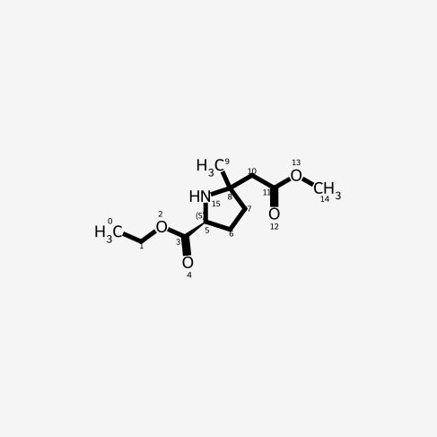 CCOC(=O)[C@@H]1CCC(C)(CC(=O)OC)N1